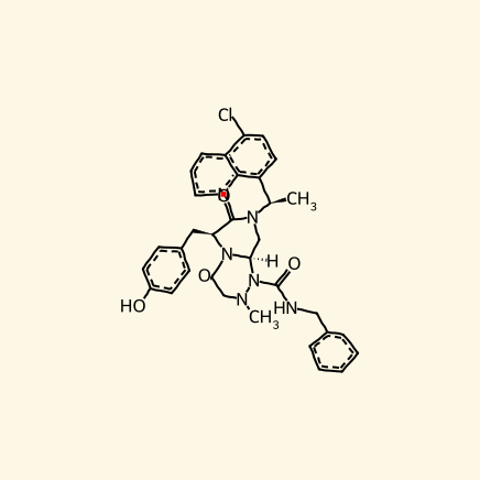 C[C@H](c1ccc(Cl)c2cccnc12)N1C[C@@H]2N(C(=O)CN(C)N2C(=O)NCc2ccccc2)[C@@H](Cc2ccc(O)cc2)C1=O